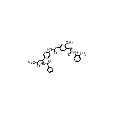 COC(=O)CC(NC(=O)c1cccs1)c1ccc(NC(=O)Cc2ccc(NC(=O)Nc3ccccc3C)c(OC)c2)cc1